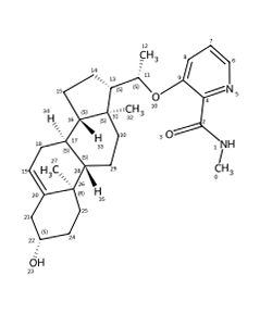 CNC(=O)c1ncccc1O[C@@H](C)[C@H]1CC[C@H]2[C@@H]3CC=C4C[C@@H](O)CC[C@]4(C)[C@H]3CC[C@]12C